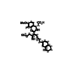 COc1ccc([C@H](CC(=O)O)NC(=O)/C(=C/NCCc2ccc3c(n2)NCCC3)C(=N)COC(C)(C)C)cc1F